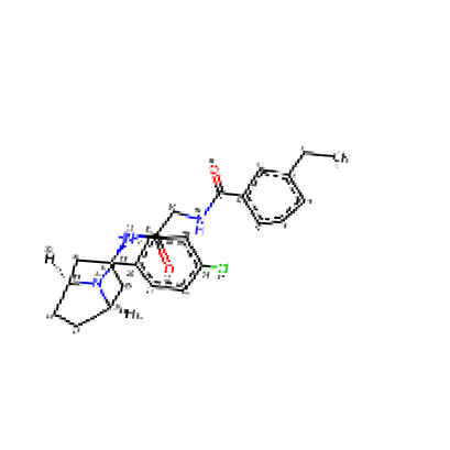 N#CCc1cccc(C(=O)NCC(=O)N[C@H]2C[C@H]3CC[C@@H](C2)N3Cc2ccc(Cl)cc2)c1